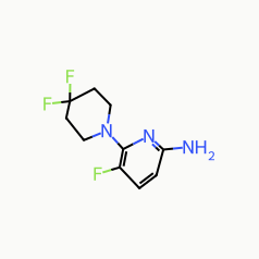 Nc1ccc(F)c(N2CCC(F)(F)CC2)n1